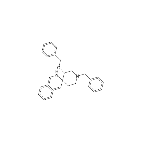 C1=c2ccccc2=C[C@@]2(CCN(Cc3ccccc3)C[C@H]2OCc2ccccc2)N1